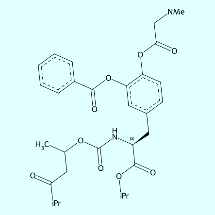 CNCC(=O)Oc1ccc(C[C@H](NC(=O)OC(C)CC(=O)C(C)C)C(=O)OC(C)C)cc1OC(=O)c1ccccc1